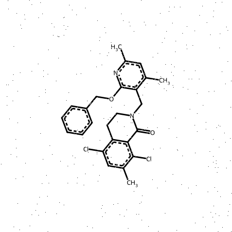 Cc1cc(C)c(CN2CCc3c(Cl)cc(C)c(Cl)c3C2=O)c(OCc2ccccc2)n1